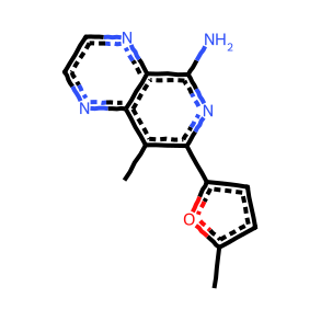 Cc1ccc(-c2nc(N)c3nccnc3c2C)o1